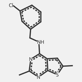 Cc1nc(NCc2cccc(Cl)c2)c2cc(C)sc2n1